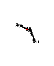 CC(C)(C)c1ccc(CCCCCCCC2SC2CC2SC2CC2CSSCC(CC3SC(CCCCCCCc4ccc(C(C)(C)C)c(O)c4)C4CC3S4)SS2)cc1O